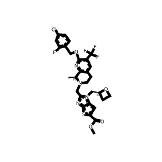 COC(=O)c1cc2c(nc(CN3CCc4cc(C(F)(F)F)c(OCc5ccc(Cl)cc5F)nc4[C@@H]3C)n2C[C@@H]2CCO2)s1